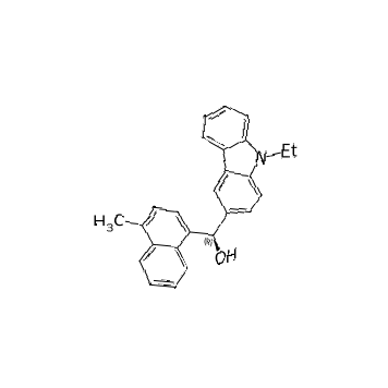 CCn1c2ccccc2c2cc([C@@H](O)c3ccc(C)c4ccccc34)ccc21